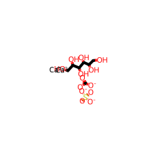 O=C([O-])[O-].O=S(=O)([O-])[O-].OCC(O)C(O)C(O)C(O)CO.[Ca+2].[Ca+2]